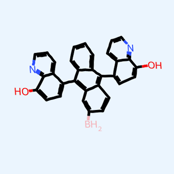 Bc1ccc2c(-c3ccc(O)c4ncccc34)c3ccccc3c(-c3ccc(O)c4ncccc34)c2c1